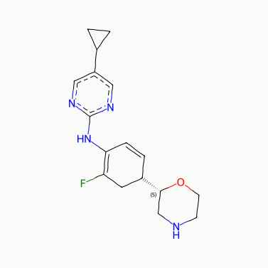 FC1=C(Nc2ncc(C3CC3)cn2)C=CC([C@H]2CNCCO2)C1